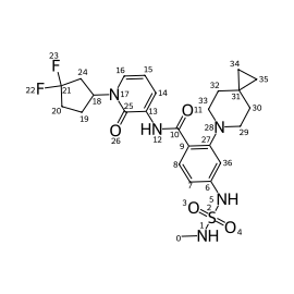 CNS(=O)(=O)Nc1ccc(C(=O)Nc2cccn(C3CCC(F)(F)C3)c2=O)c(N2CCC3(CC2)CC3)c1